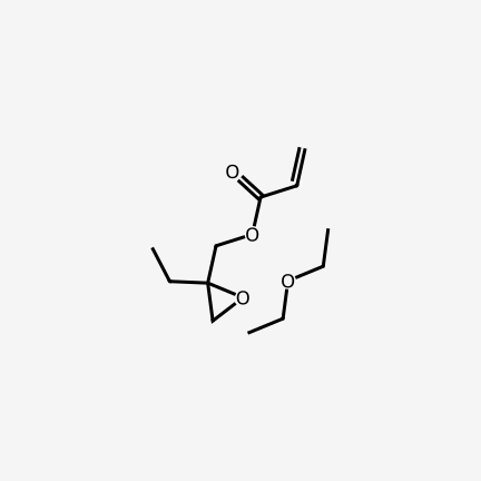 C=CC(=O)OCC1(CC)CO1.CCOCC